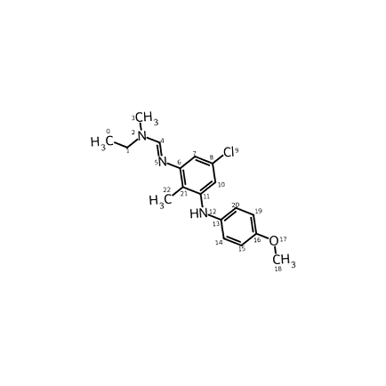 CCN(C)C=Nc1cc(Cl)cc(Nc2ccc(OC)cc2)c1C